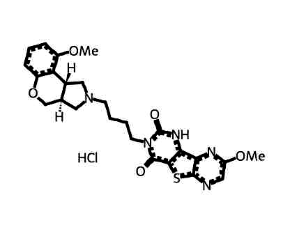 COc1cnc2sc3c(=O)n(CCCCN4C[C@H]5COc6cccc(OC)c6[C@@H]5C4)c(=O)[nH]c3c2n1.Cl